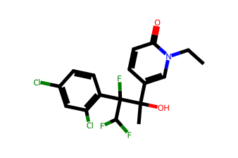 CCn1cc(C(C)(O)C(F)(c2ccc(Cl)cc2Cl)C(F)F)ccc1=O